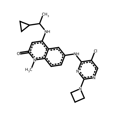 CC(Nc1cc(=O)n(C)c2ccc(Nc3nc(N4CCC4)ncc3Cl)cc12)C1CC1